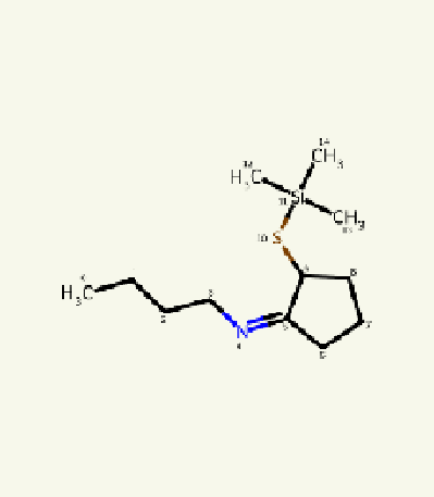 CCCCN=C1CCCC1S[Si](C)(C)C